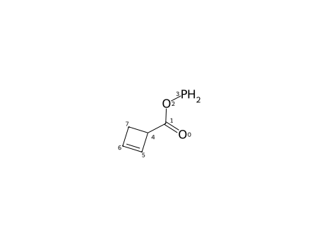 O=C(OP)C1C=CC1